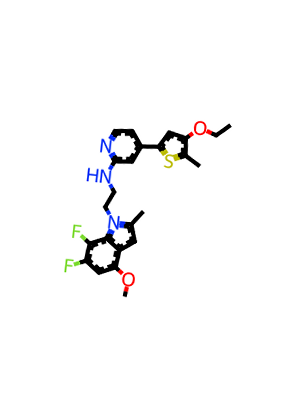 CCOc1cc(-c2ccnc(NCCn3c(C)cc4c(OC)cc(F)c(F)c43)c2)sc1C